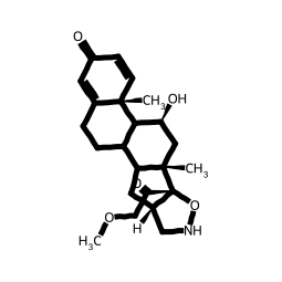 COCC(=O)[C@@]12ONC[C@@H]1CC1C3CCC4=CC(=O)C=C[C@]4(C)C3[C@@H](O)C[C@@]12C